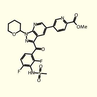 COC(=O)c1ccc(-c2cnc3c(c2)c(C(=O)c2ccc(F)c(NS(C)(=O)=O)c2F)nn3C2CCCCO2)cn1